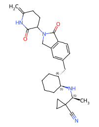 C=C1CCC(N2Cc3cc(C[C@H]4CCCC[C@@H]4N[C@@H](C)C4(C#N)CC4)ccc3C2=O)C(=O)N1